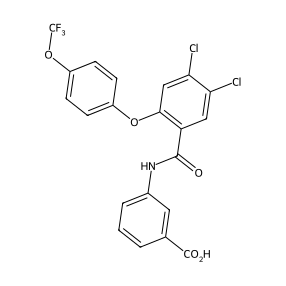 O=C(O)c1cccc(NC(=O)c2cc(Cl)c(Cl)cc2Oc2ccc(OC(F)(F)F)cc2)c1